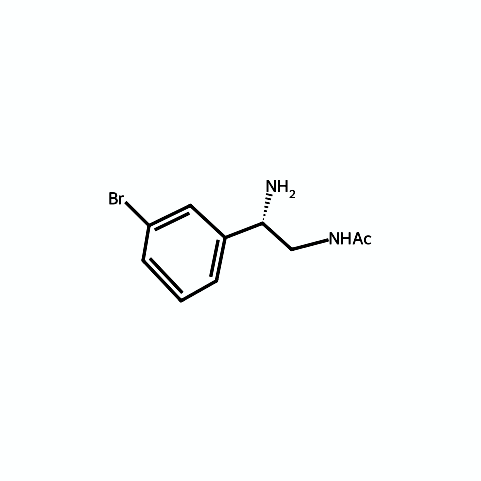 CC(=O)NC[C@@H](N)c1cccc(Br)c1